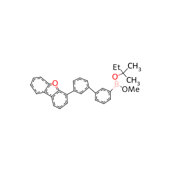 CCC(C)(C)OB(OC)c1cccc(-c2cccc(-c3cccc4c3oc3ccccc34)c2)c1